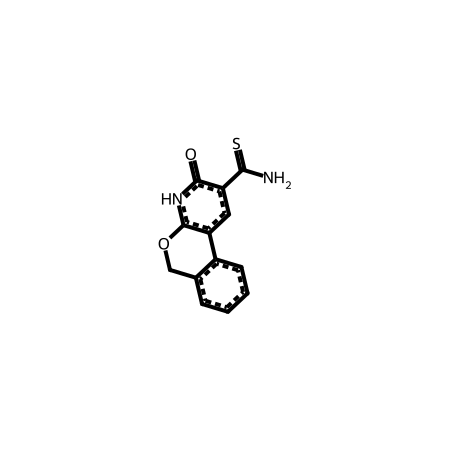 NC(=S)c1cc2c([nH]c1=O)OCc1ccccc1-2